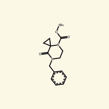 CC(C)(C)OC(=O)N1CCN(Cc2ccccc2)C(=O)C12CC2